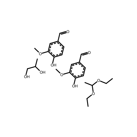 CC(O)CO.CCOC(C)OCC.COc1cc(C=O)ccc1O.COc1cc(C=O)ccc1O